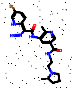 Cc1ncc(C(=O)NCCN2CCC[C@H]2C)cc1NC(=O)/C(N=N)=C1\C=CC(Br)=CN1